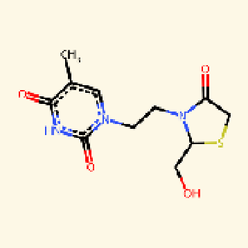 Cc1cn(CCN2C(=O)CSC2CO)c(=O)[nH]c1=O